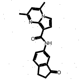 Cc1cc(C)n2ccc(C(=O)Nc3ccc4c(c3)C(=O)CC4)c2n1